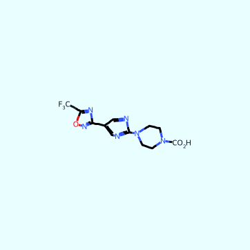 O=C(O)N1CCN(c2ncc(-c3noc(C(F)(F)F)n3)cn2)CC1